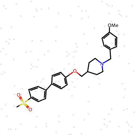 COc1ccc(CN2CCC(COc3ccc(-c4ccc(S(C)(=O)=O)cc4)cc3)CC2)cc1